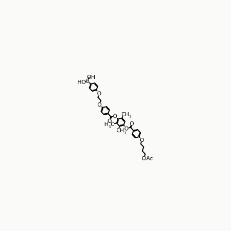 CC(=O)OCCCCOc1ccc(C(=O)Oc2cc(C)c(OC(=O)c3ccc(OCCOc4ccc(B(O)O)cc4)cc3)c(C)c2C)cc1